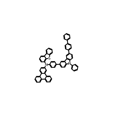 c1ccc(-c2ccc(-c3ccc4c(c3)c3cc(-c5ccc(N(c6ccc7c8ccccc8c8ccccc8c7c6)c6cccc7c6sc6ccccc67)cc5)ccc3n4-c3ccccc3)cc2)cc1